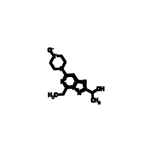 CCc1nc(N2CC[S+]([O-])CC2)cc2nc(C(C)O)nn12